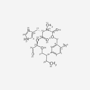 [3H]c1ccccc1COC(=O)N(C)[C@@H](Cc1c[nH]cn1)C(=O)O[C@H](C=O)OCCCC